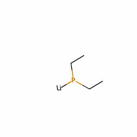 [Li][P](CC)CC